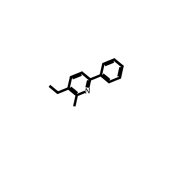 CCc1ccc(-c2ccccc2)nc1C